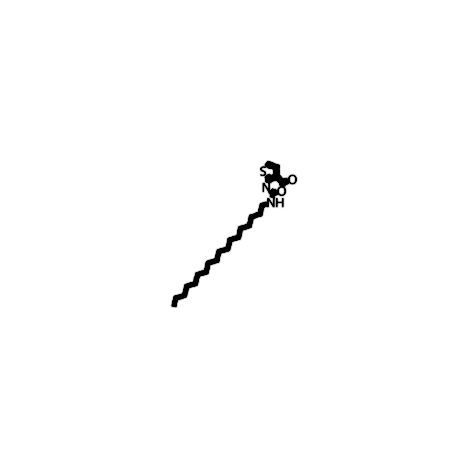 CCCCCCCCCCCCCCCCCCNc1nc2sccc2c(=O)o1